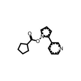 O=C(On1cccc1-c1cccnc1)C1CCCC1